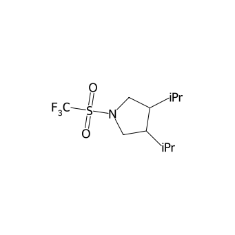 CC(C)C1CN(S(=O)(=O)C(F)(F)F)CC1C(C)C